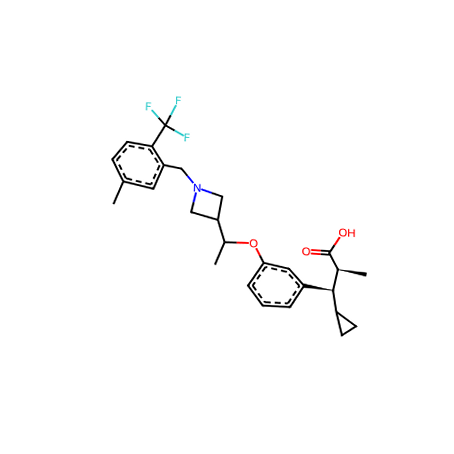 Cc1ccc(C(F)(F)F)c(CN2CC(C(C)Oc3cccc([C@H](C4CC4)[C@H](C)C(=O)O)c3)C2)c1